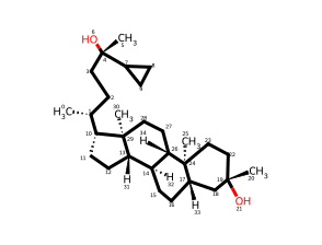 C[C@H](CC[C@](C)(O)C1CC1)[C@H]1CC[C@H]2[C@@H]3CC[C@H]4C[C@@](C)(O)CC[C@]4(C)[C@H]3CC[C@]12C